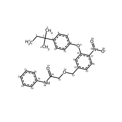 CCC(C)(C)c1ccc(Oc2cc(COCC(=O)Nc3ccccc3)ccc2[N+](=O)[O-])cc1